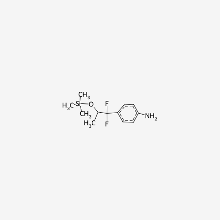 CC(O[Si](C)(C)C)C(F)(F)c1ccc(N)cc1